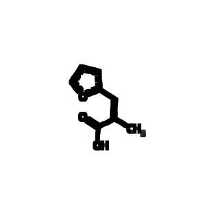 CC(=Cc1ccco1)C(=O)O